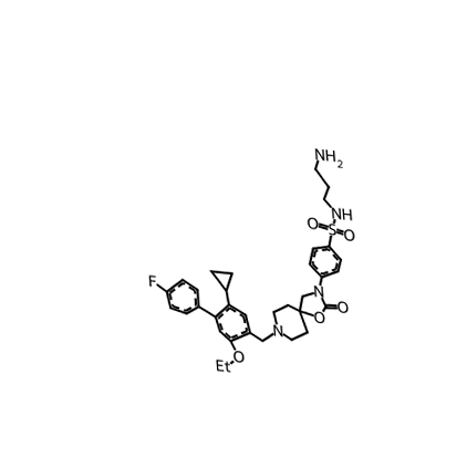 CCOc1cc(-c2ccc(F)cc2)c(C2CC2)cc1CN1CCC2(CC1)CN(c1ccc(S(=O)(=O)NCCCN)cc1)C(=O)O2